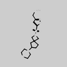 COCc1cc(S(=O)(=O)N2CC3(CCC(N4CCOCC4)C3)C2)[nH]n1